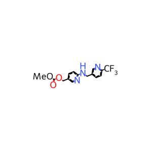 COC(=O)OCc1ccc(NCc2ccc(C(F)(F)F)nc2)nc1